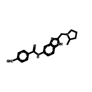 CC1CCCN1Cc1nc2cc(NC(=O)c3ccc(C=O)cc3)ccc2[nH]1